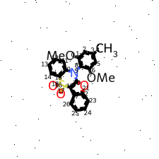 COc1cc(C)cc(OC)c1N1c2ccccc2S(=O)(=O)c2c1oc1ccccc21